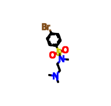 CN(C)CCN(C)S(=O)(=O)c1ccc(Br)cc1